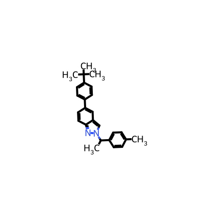 Cc1ccc(C(C)n2cc3cc(-c4ccc(C(C)(C)C)cc4)ccc3n2)cc1